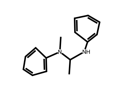 CC(Nc1ccccc1)N(C)c1ccccc1